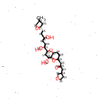 C=C1CO[C@@H](CC[C@@H](O)CC[C@H](O)C2C[C@@H](O)C3OC(CC(=O)CC4CCOC4)CCC3O2)C1